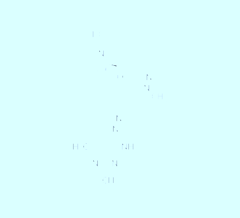 CCN1CCC[C@@H]1COc1cnn(C)c1-c1ccn2nc(Nc3cc(C)nc(C)n3)cc2c1